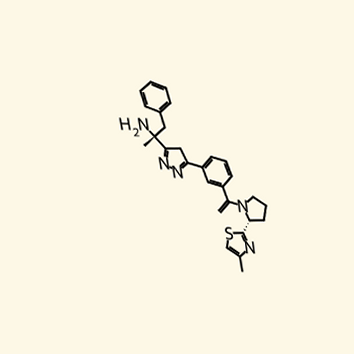 C=C(c1cccc(C2=NN=C([C@](C)(N)Cc3ccccc3)C2)c1)N1CCC[C@@H]1c1nc(C)cs1